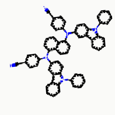 N#Cc1ccc(N(c2ccc3c(c2)c2ccccc2n3-c2ccccc2)c2cccc3c(N(c4ccc(C#N)cc4)c4ccc5c(c4)c4ccccc4n5-c4ccccc4)cccc23)cc1